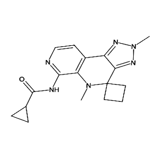 CN1c2c(ccnc2NC(=O)C2CC2)-c2nn(C)nc2C12CCC2